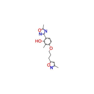 Cc1cc(CCCOc2ccc(-c3noc(C)n3)c(O)c2C)on1